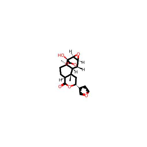 C[C@@]12C[C@H](c3ccoc3)OC(=O)[C@H]1CC[C@]1(C)[C@H]2[C@@H]2OC(=O)[C@@]1(O)[C@H]1O[C@@H]21